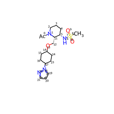 CC(=O)N1CCC[C@H](NS(C)(=O)=O)[C@@H]1COC1CCC(n2cccn2)CC1